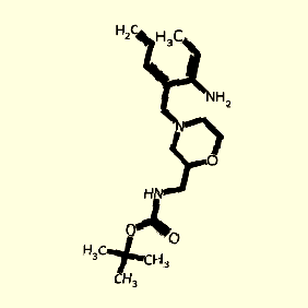 C=C/C=C(CN1CCOC(CNC(=O)OC(C)(C)C)C1)\C(N)=C/C